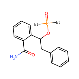 CCP(=O)(CC)OC(Cc1ccccc1)c1ccccc1C(N)=O